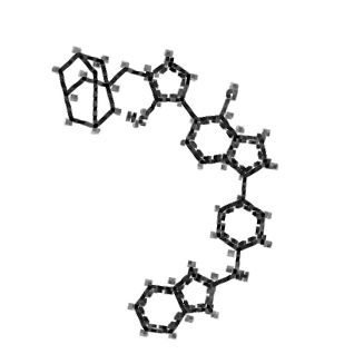 Cc1c(-c2ccn3c(-c4ccc(Nc5nc6ccccc6s5)nc4)nnc3c2Cl)cnn1CC12CC3CC(CC(C3)C1)C2